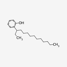 CCCCCCCCCCCC(CC)c1ccccc1O